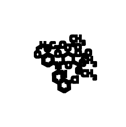 COC(=O)C1OC(N(c2ccc3c(c2)OCCO3)c2ccc3cccc(Cl)c3n2)C(OC(C)=O)C(OC(C)=O)C1OC(C)=O